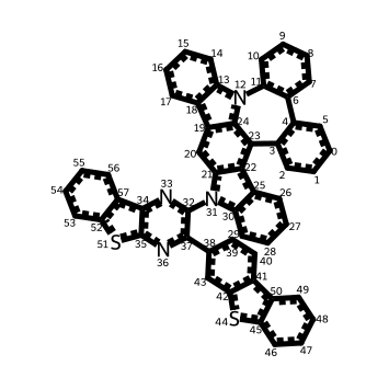 c1ccc2c(c1)-c1ccccc1-n1c3ccccc3c3cc4c(c-2c31)c1ccccc1n4-c1nc2c(nc1-c1ccc3c(c1)sc1ccccc13)sc1ccccc12